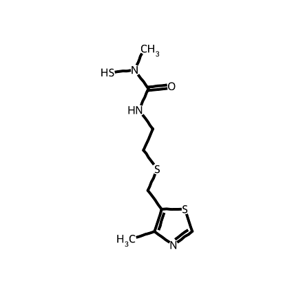 Cc1ncsc1CSCCNC(=O)N(C)S